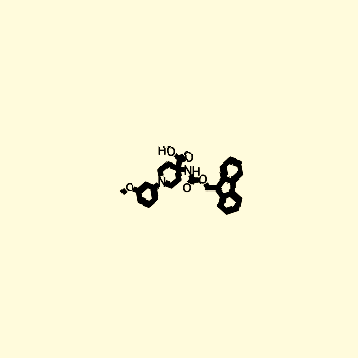 COc1cccc(N2CCC(NC(=O)OCC3c4ccccc4-c4ccccc43)(C(=O)O)CC2)c1